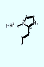 Br.CC=Cc1nccn1C